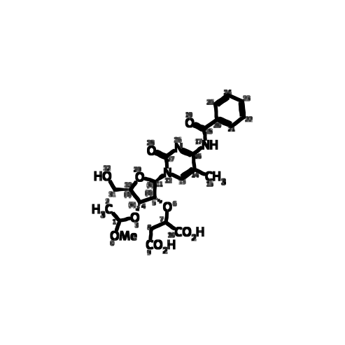 COC(C)O[C@H]1[C@@H](OC(CC(=O)O)C(=O)O)[C@H](n2cc(C)c(NC(=O)c3ccccc3)nc2=O)O[C@@H]1CO